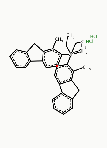 C[CH2][Zr](=[SiH2])([CH2]C)([c]1ccc2c(c1C)Cc1ccccc1-2)[c]1ccc2c(c1C)Cc1ccccc1-2.Cl.Cl